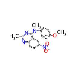 COc1ccc(N(C)c2nc(C)nc3ccc([N+](=O)[O-])cc23)cc1